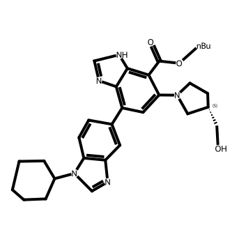 CCCCOC(=O)c1c(N2CC[C@H](CO)C2)cc(-c2ccc3c(c2)ncn3C2CCCCC2)c2nc[nH]c12